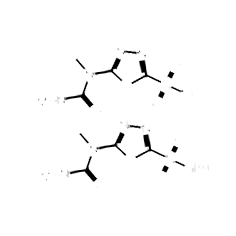 CCCCS(=O)(=O)c1nnc(N(C)C(=O)NC)s1.CCS(=O)(=O)c1nnc(N(C)C(=O)NC)s1